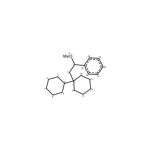 COC(CC1(C2CCCCC2)CCCCC1)c1ccccc1